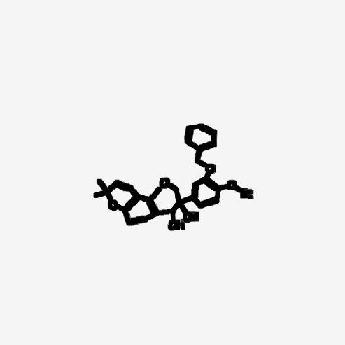 CCOc1ccc(C2(O)COc3c(ccc4c3C=CC(C)(C)O4)C2O)cc1OCc1ccccc1